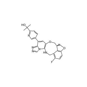 CC(C)(O)c1ccc(-c2cc3c(n4cnnc24)NCc2c(F)ccc4c2[C@@H](CO4)CO3)cn1